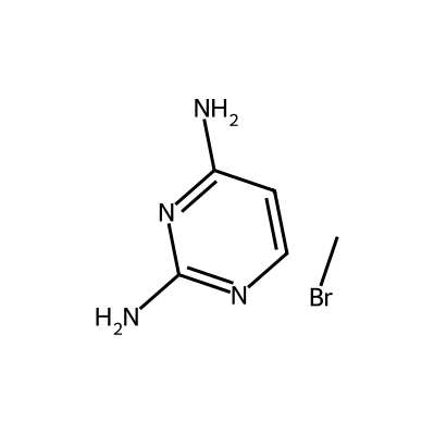 CBr.Nc1ccnc(N)n1